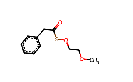 COCCOSC(=O)Cc1ccccc1